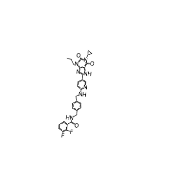 CCCn1c(=O)n(C2CC2)c(=O)c2[nH]c(-c3ccc(NCc4ccc(CNC(=O)c5cccc(F)c5F)cc4)nc3)nc21